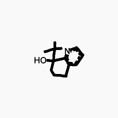 CC(C)(C)C1(O)CCCc2cccnc21